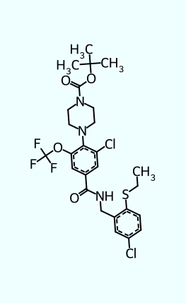 CCSc1ccc(Cl)cc1CNC(=O)c1cc(Cl)c(N2CCN(C(=O)OC(C)(C)C)CC2)c(OC(F)(F)F)c1